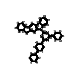 c1ccc(-c2ccc(-c3nc(-c4ccccc4)nc(-n4c5ccccc5c5cc6c(cc54)Cc4ccccc4-6)n3)cc2)cc1